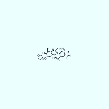 Cc1nc(N[C@H](C)c2cc(N)cc(C(F)(F)F)c2)c2cc(O[C@H]3CCOC3)c(=O)[nH]c2n1